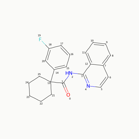 O=C(Nc1nccc2ccccc12)C1(c2cccc(F)c2)CCCCC1